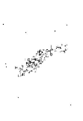 CCO[C@@H]([C@H]1C[C@@H](C)[C@H]2[C@H](O1)[C@H](O)[C@@]1(C)[C@@H]3CC[C@H]4C(C)(C)[C@@H](OC(=O)NCCN5CCOCC5)CC[C@@]45C[C@@]35CC[C@]21C)C(C)(C)O